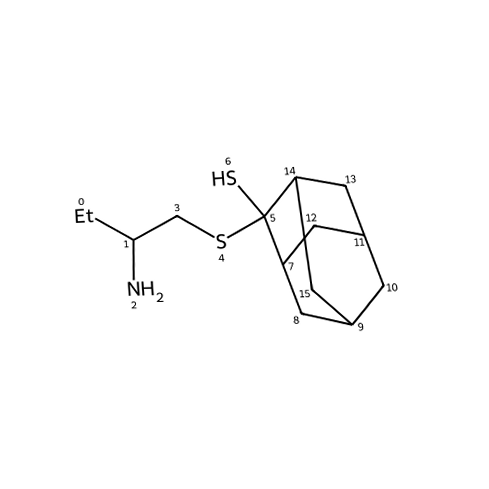 CCC(N)CSC1(S)C2CC3CC(C2)CC1C3